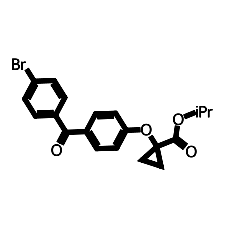 CC(C)OC(=O)C1(Oc2ccc(C(=O)c3ccc(Br)cc3)cc2)CC1